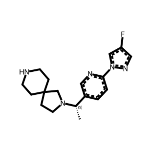 C[C@@H](c1ccc(-n2cc(F)cn2)nc1)N1CCC2(CCNCC2)C1